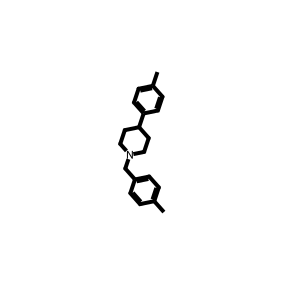 Cc1ccc(CN2CCC(c3ccc(C)cc3)CC2)cc1